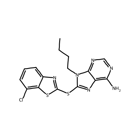 CCCCn1c(Sc2nc3cccc(Cl)c3s2)nc2c(N)ncnc21